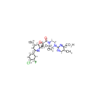 Cc1cnc(N2CCN(C(=O)c3cc4nc(-c5ccc(Cl)c(F)c5)cc(C(C)(C)C)c4o3)C(C)(C)C2)nc1C(=O)O